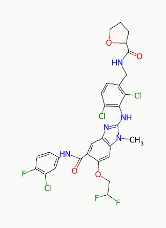 Cn1c(Nc2c(Cl)ccc(CNC(=O)C3CCCO3)c2Cl)nc2cc(C(=O)Nc3ccc(F)c(Cl)c3)c(OCC(F)F)cc21